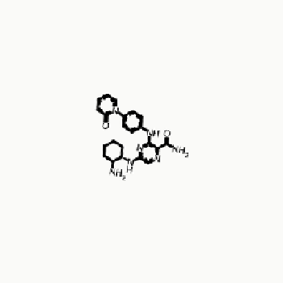 NC(=O)c1ncc(N[C@@H]2CCCC[C@@H]2N)nc1Nc1ccc(-n2ccccc2=O)cc1